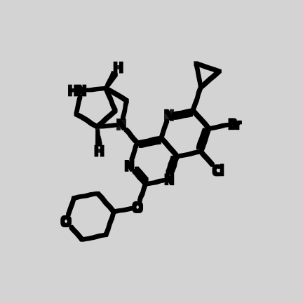 Clc1c(Br)c(C2CC2)nc2c(N3C[C@@H]4C[C@H]3CN4)nc(OC3CCOCC3)nc12